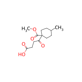 COC(=O)C1(C(=O)CCC(=O)O)CCC(C)CC1